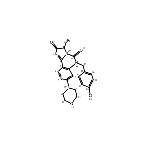 CC(C)C1C(=O)N=C2c3nnc(N4CCOCC4)cc3N(Cc3ccc(Cl)cc3)C(=O)N21